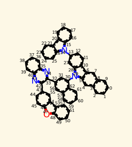 c1ccc2cc3c(cc2c1)c1ccc(-n2c4ccccc4c4ccccc42)cc1n3-c1cc(-c2nc3ccccc3nc2-c2ccc3oc4ccccc4c3c2)cc2ccccc12